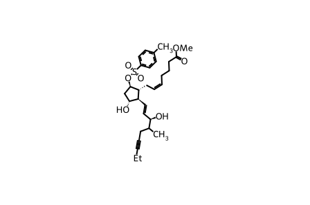 CCC#CCC(C)[C@H](O)/C=C/[C@@H]1[C@@H](C/C=C\CCCC(=O)OC)[C@H](OS(=O)(=O)c2ccc(C)cc2)C[C@H]1O